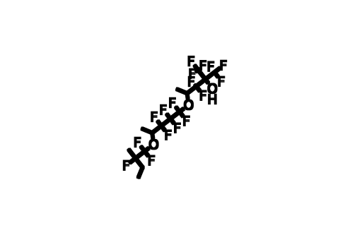 CCC(C)(F)C(F)(F)OC(C)C(F)(F)C(F)(F)C(F)(F)OC(C)C(F)(F)C(O)(C(F)(F)F)C(F)(F)F